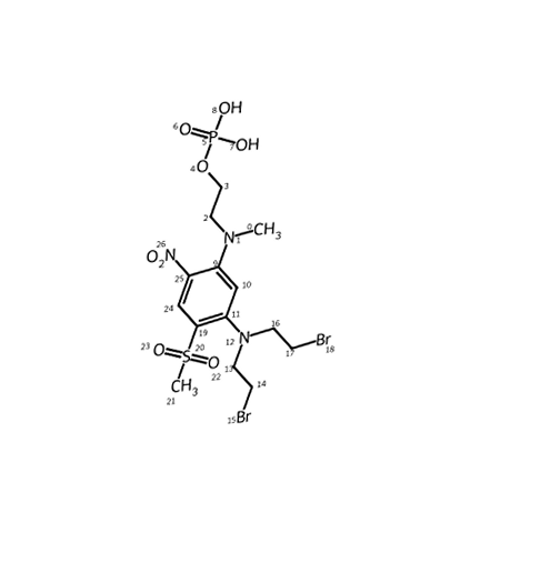 CN(CCOP(=O)(O)O)c1cc(N(CCBr)CCBr)c(S(C)(=O)=O)cc1[N+](=O)[O-]